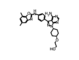 Cc1cc(C)c2oc(Nc3ccc(-c4nn([C@H]5CC[C@H](OCCO)CC5)c5ncnc(N)c45)cc3)nc2c1